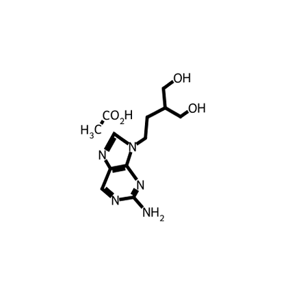 CC(=O)O.Nc1ncc2ncn(CCC(CO)CO)c2n1